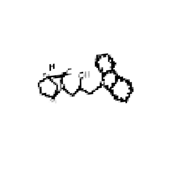 O=C1[C@@H]2CC[C@@H](C2)N1CC(O)Cn1c2ccccc2c2ccccc21